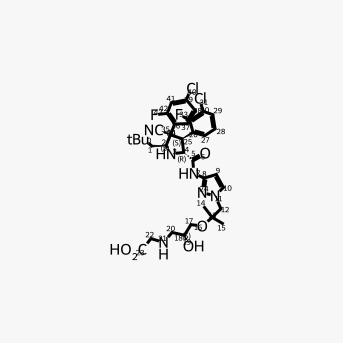 CC(C)(C)C[C@@H]1N[C@@H](C(=O)Nc2ccn(CC(C)(C)OC[C@@H](O)CNCC(=O)O)n2)[C@H](c2cccc(Cl)c2F)[C@@]1(C#N)c1ccc(Cl)cc1F